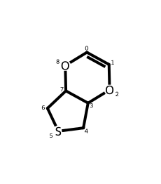 C1=COC2CSCC2O1